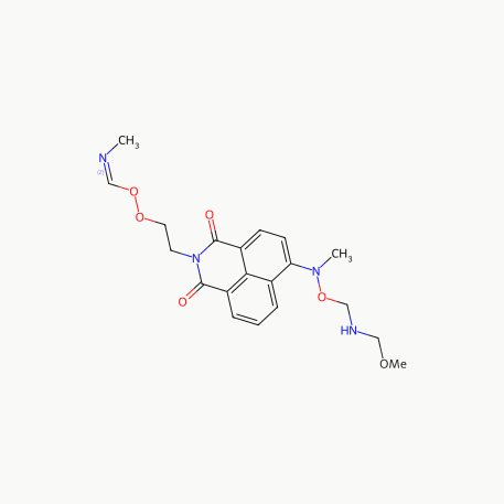 C/N=C\OOCCN1C(=O)c2cccc3c(N(C)OCNCOC)ccc(c23)C1=O